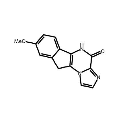 COc1ccc2c(c1)Cc1c-2[nH]c(=O)c2nccn12